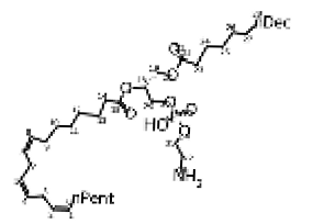 CCCCC/C=C\C/C=C\C/C=C\CCCCCCC(=O)O[C@H](COC(=O)CCCCCCCCCCCCCCC)COP(=O)(O)OCCN